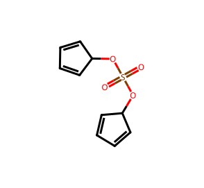 O=S(=O)(OC1C=CC=C1)OC1C=CC=C1